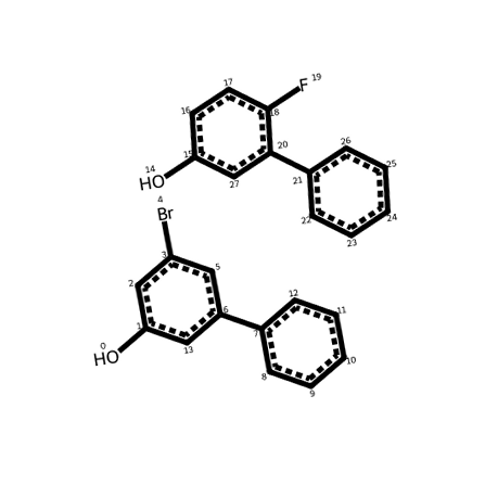 Oc1cc(Br)cc(-c2ccccc2)c1.Oc1ccc(F)c(-c2ccccc2)c1